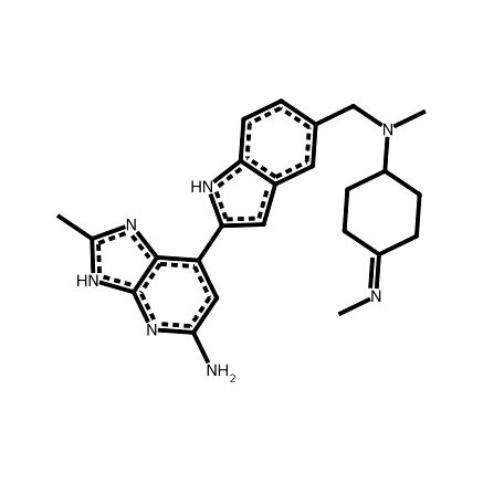 CN=C1CCC(N(C)Cc2ccc3[nH]c(-c4cc(N)nc5[nH]c(C)nc45)cc3c2)CC1